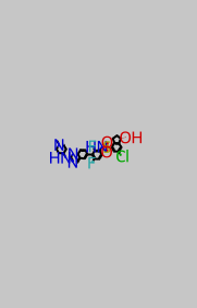 CN1CCC(Nc2ncc3cc(-c4c(F)ccc(NS(=O)(=O)c5cc(Cl)cc6c5CC[C@@H]6O)c4F)ccc3n2)CC1